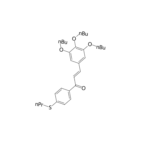 CCCCOc1cc(/C=C/C(=O)c2ccc(SCCC)cc2)cc(OCCCC)c1OCCCC